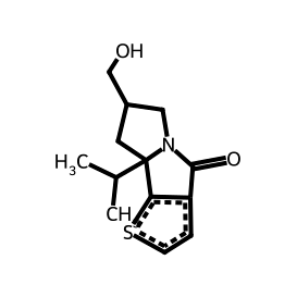 CC(C)C12CC(CO)CN1C(=O)c1ccsc12